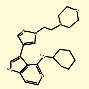 c1cc2[nH]cc(-c3cnn(CCN4CCOCC4)c3)c2c(NC2CCCCC2)n1